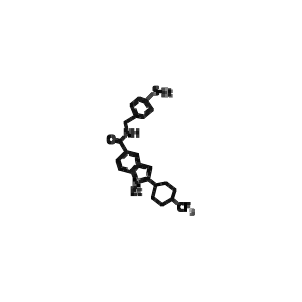 CCSc1ccc(CNC(=O)c2ccc3c(c2)cc(C2CCC(C(F)(F)F)CC2)n3CC)cc1